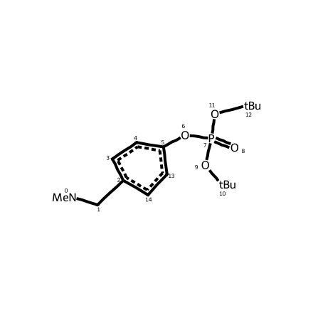 CNCc1ccc(OP(=O)(OC(C)(C)C)OC(C)(C)C)cc1